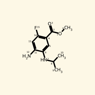 COC(=O)c1cc(NC(C)C)c(N)cc1F